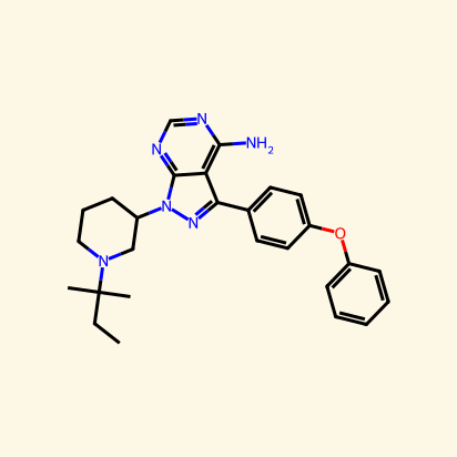 CCC(C)(C)N1CCCC(n2nc(-c3ccc(Oc4ccccc4)cc3)c3c(N)ncnc32)C1